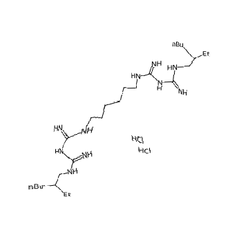 CCCCC(CC)CNC(=N)NC(=N)NCCCCCCNC(=N)NC(=N)NCC(CC)CCCC.Cl.Cl